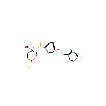 CCSC1CCC(NS(=O)(=O)c2ccc(OCc3ccc(F)cc3F)cc2)(C(=O)NO)CO1